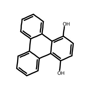 Oc1ccc(O)c2c3ccccc3c3ccccc3c12